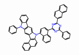 c1ccc(-c2nc(-c3ccc4ccccc4c3)nc(-c3ccc(-n4c5cc6c7ccccc7n(-c7ccccc7)c6cc5c5c6ccccc6ccc54)c4ccccc34)n2)cc1